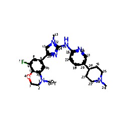 CC(C)N1CCOc2c(F)cc(-c3cn(C)c(Nc4ccc(C5CCN(C)CC5)cn4)n3)cc21